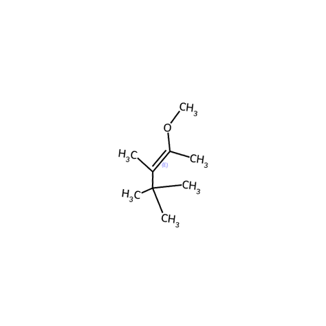 CO/C(C)=C(\C)C(C)(C)C